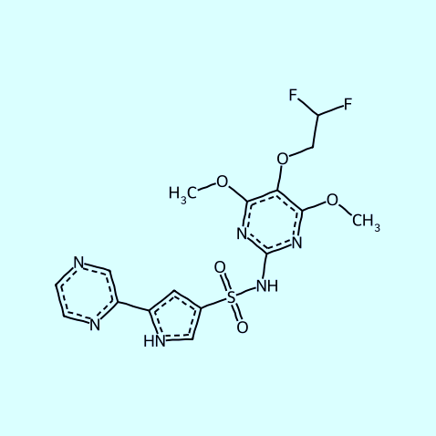 COc1nc(NS(=O)(=O)c2c[nH]c(-c3cnccn3)c2)nc(OC)c1OCC(F)F